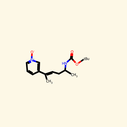 CC(=CCC(C)NC(=O)OC(C)(C)C)c1ccc[n+]([O-])c1